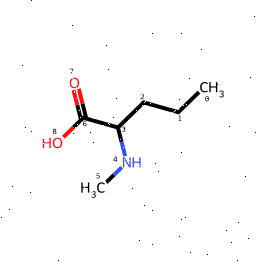 CCCC(NC)C(=O)O